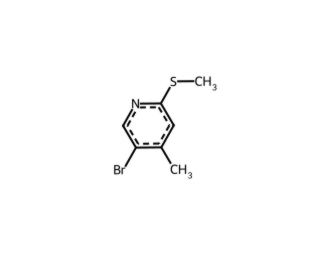 CSc1cc(C)c(Br)cn1